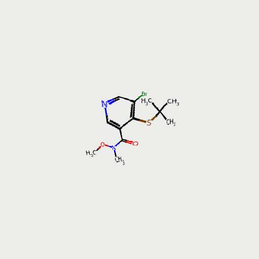 CON(C)C(=O)c1cncc(Br)c1SC(C)(C)C